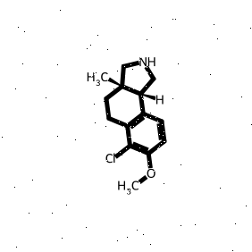 COc1ccc2c(c1Cl)CC[C@]1(C)CNC[C@H]21